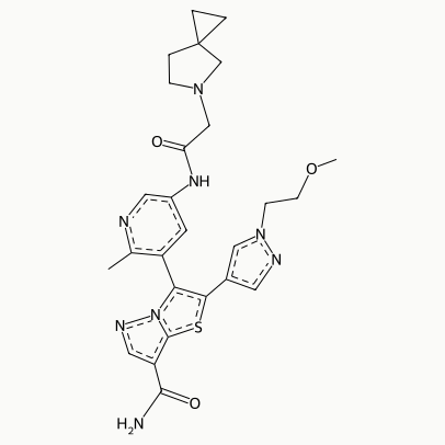 COCCn1cc(-c2sc3c(C(N)=O)cnn3c2-c2cc(NC(=O)CN3CCC4(CC4)C3)cnc2C)cn1